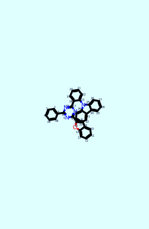 c1ccc(-c2nc(-c3cc4ccccc4o3)nc(-c3ccccc3-n3c4ccccc4c4ccccc43)n2)cc1